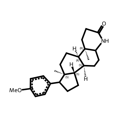 COc1ccc(C2CC[C@H]3[C@@H]4CCC5NC(=O)CC[C@]5(C)[C@@H]4CC[C@]23C)cc1